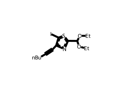 CCCCC#Cc1nc(C(OCC)OCC)sc1I